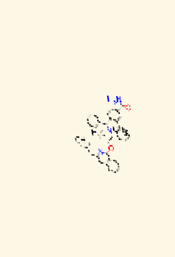 CCCCc1cc2ccccc2c(OCC[N+](C)(C)C(c2ccccc2)c2ccc(C(N)=O)cc2-c2ccccc2)n1